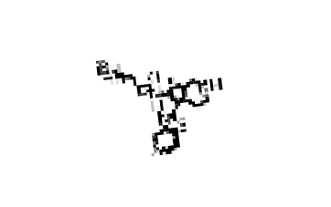 CCC(C)NCCC(=O)[15NH]c1sc2c(c1-c1nc3cnccc3s1)CCNC2